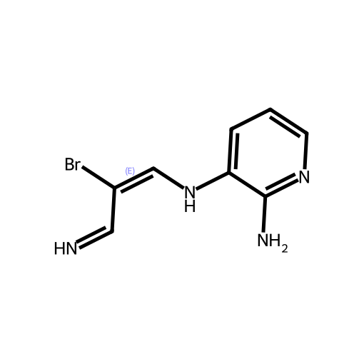 N=C/C(Br)=C\Nc1cccnc1N